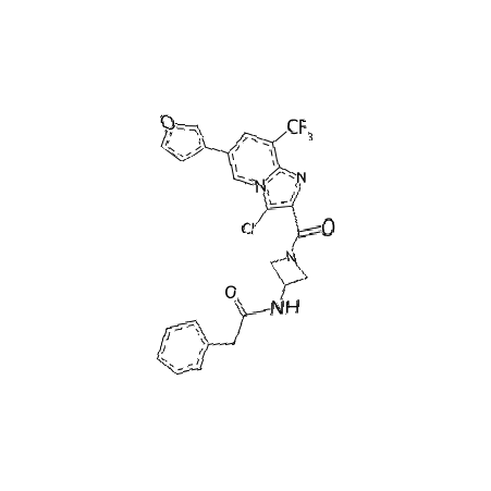 O=C(Cc1ccccc1)NC1CN(C(=O)c2nc3c(C(F)(F)F)cc(-c4ccoc4)cn3c2Cl)C1